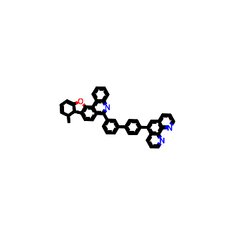 CC1C=CC=C2Oc3c(ccc4c(-c5cccc(-c6ccc(-c7cc8cccnc8c8ncccc78)cc6)c5)nc5ccccc5c34)C21